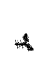 CNCC(=O)NCC(=O)NCC(=O)Nc1cc(COc2cc3c(cc2OC)C(=O)N2c4ccccc4C[C@H]2C=N3)cc(COc2cc3c(cc2OC)C(=O)N2c4ccccc4C[C@H]2C=N3)c1